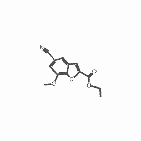 CCOC(=O)c1cc2cc(C#N)cc(OC)c2o1